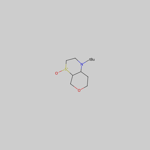 CC(C)(C)N1CC[S+]([O-])C2COCCC21